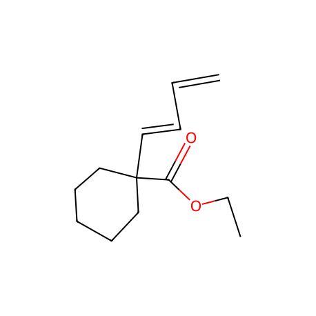 C=CC=CC1(C(=O)OCC)CCCCC1